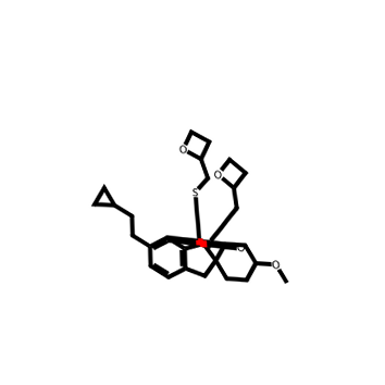 COC1CCC2(CC1)Cc1ccc(CCC3CC3)cc1C21N=C(SCC2CCO2)N(CC2CCO2)C1=O